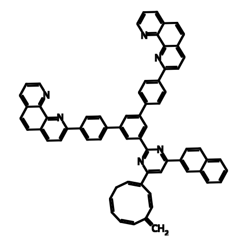 C=C1/C=C\C=C/C/C=C(c2cc(-c3ccc4ccccc4c3)nc(-c3cc(-c4ccc(-c5ccc6ccc7cccnc7c6n5)cc4)cc(-c4ccc(-c5ccc6ccc7cccnc7c6n5)cc4)c3)n2)\C=C/1